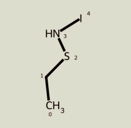 CCSNI